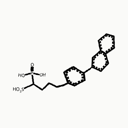 O=P(O)(O)C(CCCc1ccc(-c2ccc3ccccc3c2)cc1)S(=O)(=O)O